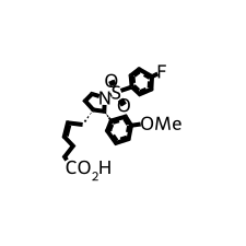 COc1cccc([C@@H]2[C@H](C/C=C\CCC(=O)O)CCN2S(=O)(=O)c2ccc(F)cc2)c1